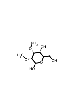 CO[C@@H]1[C@H](ON)[C@H](O)C(CO)O[C@H]1O